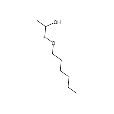 CCCCCCO[CH]C(C)O